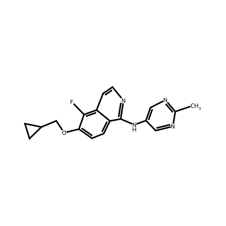 Cc1ncc(Nc2nccc3c(F)c(OCC4CC4)ccc23)cn1